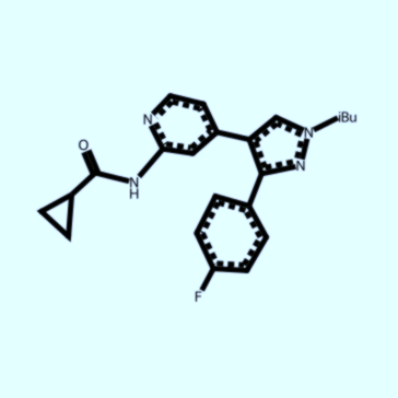 CCC(C)n1cc(-c2ccnc(NC(=O)C3CC3)c2)c(-c2ccc(F)cc2)n1